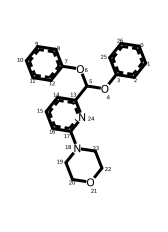 c1ccc(OC(Oc2ccccc2)c2cccc(N3CCOCC3)n2)cc1